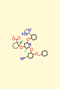 C=CC1(Oc2c(F)c(Oc3cc(C#N)ccc3OCc3ccccc3)nc(Oc3ccccc3C3NCCN3C)c2F)CCCCC1(C)C(=O)OC